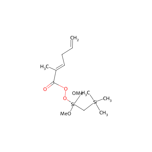 C=CCC=C(C)C(=O)OO[Si](C[Si](C)(C)C)(OC)OC